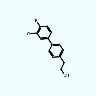 OCCc1ccc(-c2ccc(F)c(Cl)c2)cc1